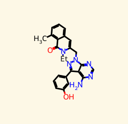 CCn1c(Cn2nc(-c3cccc(O)c3)c3c(N)ncnc32)cc2cccc(C)c2c1=O